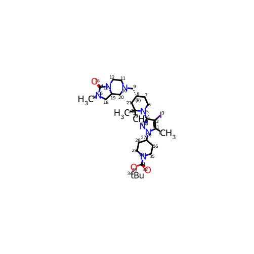 Cc1c(I)c(N2CC[C@@H](CN3CCN4C(=O)N(C)CC4C3)CC2(C)C)nn1C1CCN(C(=O)OC(C)(C)C)CC1